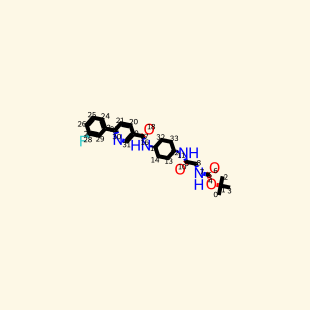 CC(C)(C)OC(=O)NCC(=O)N[C@H]1CC[C@@H](NC(=O)c2ccc(-c3cccc(F)c3)nc2)CC1